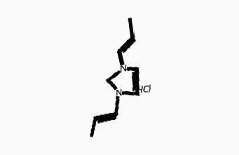 CC=CN1C=CN(C=CC)C1.Cl